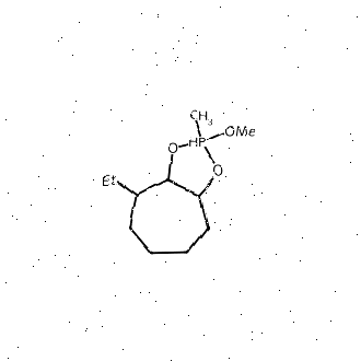 CCC1CCCCC2O[PH](C)(OC)OC12